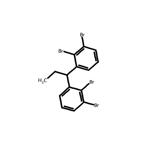 CCC(c1cccc(Br)c1Br)c1cccc(Br)c1Br